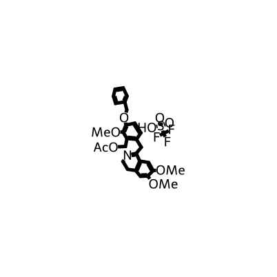 COc1cc2c(cc1OC)C(Cc1ccc(OCc3ccccc3)c(OC)c1COC(C)=O)=NCC2.O=S(=O)(O)C(F)(F)F